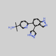 CC(C)(N)c1ccc(-c2ccc3[nH]ncc3c2-c2cn[nH]c2)nc1